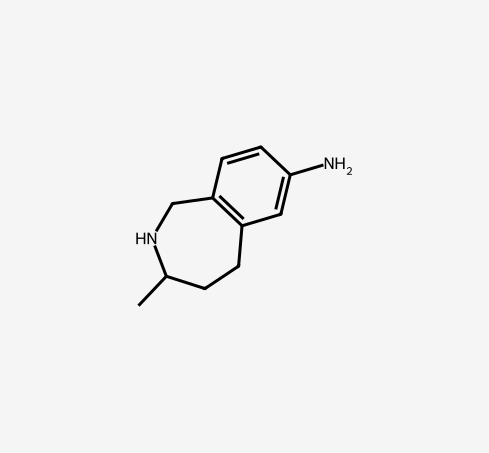 CC1CCc2cc(N)ccc2CN1